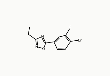 CCc1noc(-c2ccc(Br)c(F)c2)n1